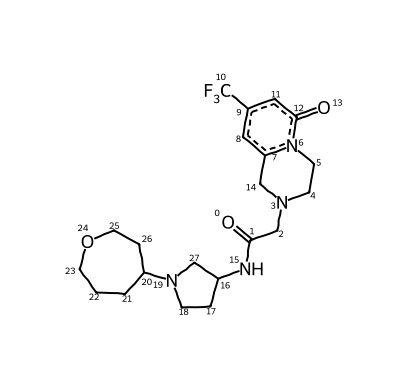 O=C(CN1CCn2c(cc(C(F)(F)F)cc2=O)C1)NC1CCN(C2CCCOCC2)C1